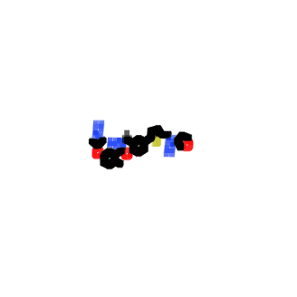 Cc1ccc(OC2CNC2)cc1C(=O)N[C@H](C)c1cccc(-c2ccc(CNC3CCOC3)s2)c1